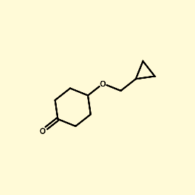 O=C1CCC(OCC2CC2)CC1